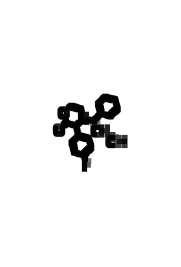 C[C@@H](c1ccccc1)N1C=COC(=O)C1c1ccc(F)cc1.Cl